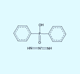 N=[N+]=N.O=P(O)(c1ccccc1)c1ccccc1